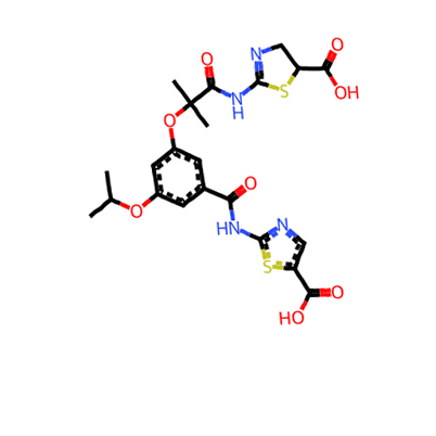 CC(C)Oc1cc(OC(C)(C)C(=O)NC2=NCC(C(=O)O)S2)cc(C(=O)Nc2ncc(C(=O)O)s2)c1